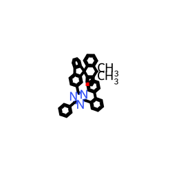 CC1(C)c2ccccc2C2(c3ccccc3-c3ccc(-c4nc(-c5ccccc5)nc(-c5ccccc5-c5ccccc5)n4)cc32)c2ccccc21